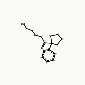 O=C(CNCCO)C1(c2ccccc2)CCCC1